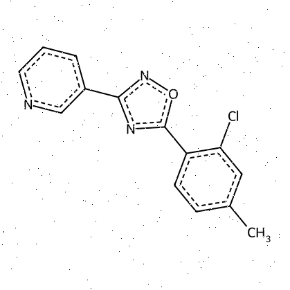 Cc1ccc(-c2nc(-c3cccnc3)no2)c(Cl)c1